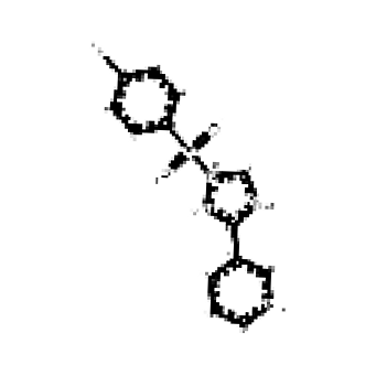 O=S(=O)(c1ccc(F)cc1)n1cnc(-c2cccnc2)n1